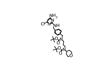 CC(C)(C)OC(=O)N(CCCN(C(=O)OC(C)(C)C)C1CCOCC1)Cc1ccc(CNc2nc(N)cc(Cl)n2)cc1